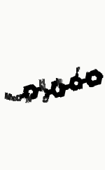 COc1ccc(NC(=O)c2ccc(-c3ccc(-c4ccccc4)c(F)c3)nc2)cn1